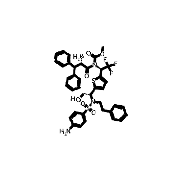 COC(=O)N(C(=O)[C@@H](N)C(c1ccccc1)c1ccccc1)[C@H](c1ccc([C@@H](CO)N(CCc2ccccc2)S(=O)(=O)c2ccc(N)cc2)s1)C(F)(F)F